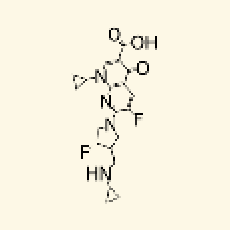 O=C(O)c1cn(C2CC2)c2nc(N3C[C@@H](CNC4CC4)[C@H](F)C3)c(F)cc2c1=O